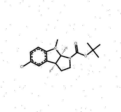 CN1c2ccc(Cl)cc2[C@]2(F)CCN(C(=O)OC(C)(C)C)[C@H]12